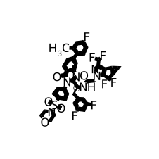 Cc1cc(F)ccc1-c1ccc2c(=O)n(-c3ccc(S(=O)(=O)N4CCOCC4)cc3)c([C@H](Cc3cc(F)cc(F)c3)NC(=O)Cn3nc(C(F)F)c4c3C(F)(F)C3CC43)nc2c1